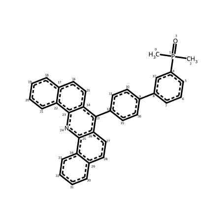 CP(C)(=O)c1cccc(-c2ccc(-c3c4ccc5ccccc5c4nc4c3ccc3ccccc34)cc2)c1